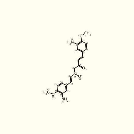 COc1ccc(/C=C/C(=O)C[S+]([O-])/C=C/c2ccc(OC)c(N)c2)cc1N